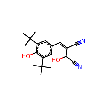 CC(C)(C)c1cc(C=C(C#N)C(O)C#N)cc(C(C)(C)C)c1O